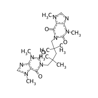 Cn1cnc2c1c(=O)n(CC(C)(C)CC(C)(C)Cn1c(=O)c3c(ncn3C)n(C)c1=O)c(=O)n2C